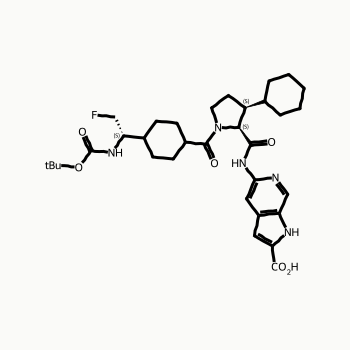 CC(C)(C)OC(=O)N[C@H](CF)C1CCC(C(=O)N2CC[C@@H](C3CCCCC3)[C@H]2C(=O)Nc2cc3cc(C(=O)O)[nH]c3cn2)CC1